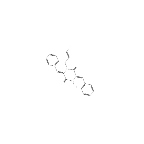 CC=CCn1c(=O)c(=Cc2ccccc2)n(C)c(=O)c1=Cc1ccccc1